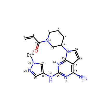 C=CC(=O)N1CCCC(n2ccc3c(N)nc(Nc4cnn(CC)c4)nc32)C1